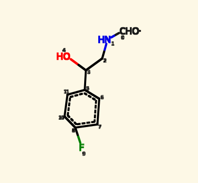 O=[C]NCC(O)c1ccc(F)cc1